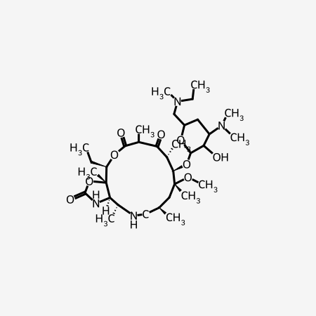 CC[C@H]1OC(=O)C(C)C(=O)[C@H](C)[C@@H](OC2OC(CN(C)CC)CC(N(C)C)C2O)[C@](C)(OC)C[C@@H](C)CN[C@H](C)[C@H]2NC(=O)O[C@@]21C